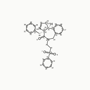 O=C1N(CCS(=O)(=O)c2ccccc2)Cc2ccccc2[C@@H]2OC=N[C@]12Cc1ccccc1